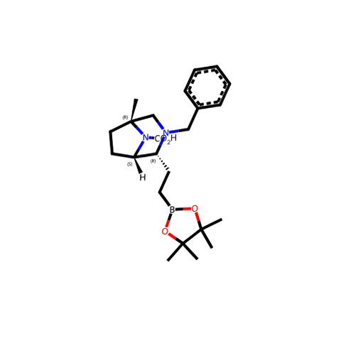 CC1(C)OB(CC[C@@H]2[C@@H]3CC[C@](C)(CN2Cc2ccccc2)N3C(=O)O)OC1(C)C